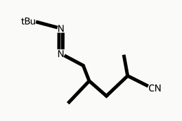 CC(C#N)CC(C)CN=NC(C)(C)C